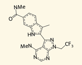 CNC(=O)c1ccc2c(C)c(-c3nn(CC(F)(F)F)c4ncnc(NC)c34)[nH]c2c1